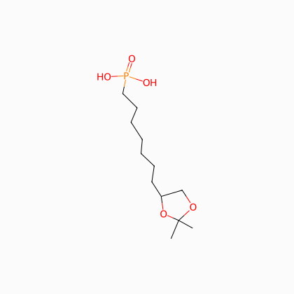 CC1(C)OCC(CCCCCCCP(=O)(O)O)O1